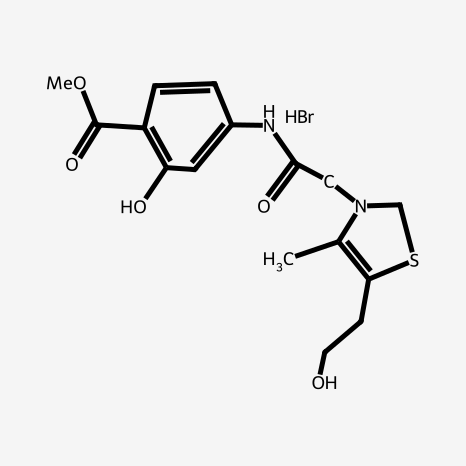 Br.COC(=O)c1ccc(NC(=O)CN2CSC(CCO)=C2C)cc1O